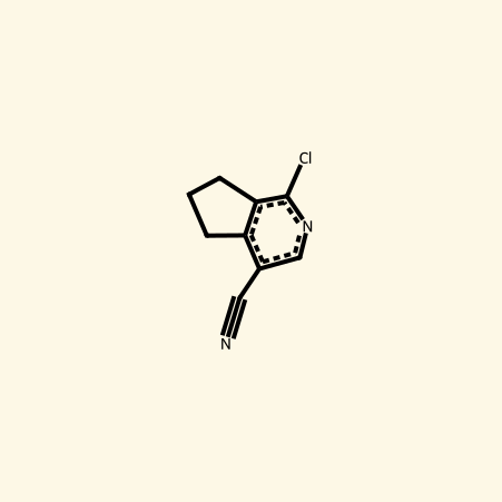 N#Cc1cnc(Cl)c2c1CCC2